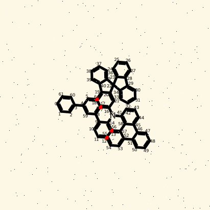 c1ccc(-c2cccc(-c3ccccc3N(c3ccc4c(c3)C3(c5ccccc5-c5ccccc53)c3ccccc3-4)c3cccc4c5ccccc5c5ccccc5c34)c2)cc1